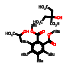 CC(O)C(=O)O.CCCCOC(=O)c1c(CCCC)c(CCCC)c(CCCC)c(CCCC)c1C(=O)OCCCC.O=C(O)CC(O)(CC(=O)O)C(=O)O